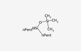 CCCCC[SiH](CCCCC)O[Si](C)(C)C